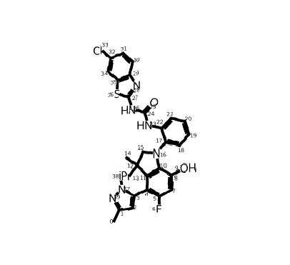 Cc1cc(-c2c(F)cc(O)c3c2C(C)(C)CN3c2ccccc2NC(=O)Nc2nc3ccc(Cl)cc3s2)n(C(C)C)n1